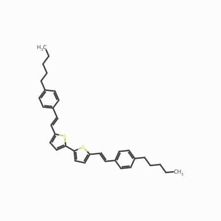 CCCCCc1ccc(C=Cc2ccc(-c3ccc(C=Cc4ccc(CCCCC)cc4)s3)s2)cc1